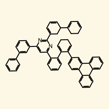 C1=CCCC(C2C=CC=C(c3nc(-c4cccc(-c5ccccc5)c4)cc(-c4ccccc4C4=CCCC=C4c4ccc5c6ccccc6c6ccccc6c5c4)n3)C2)=C1